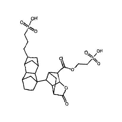 O=C1OC2C(C(=O)OCCS(=O)(=O)O)C3CC1C2C3C12CCC(C1)C1C3CC(CC3CCCS(=O)(=O)O)C12